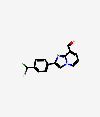 O=Cc1cccn2cc(-c3ccc(C(F)F)cc3)nc12